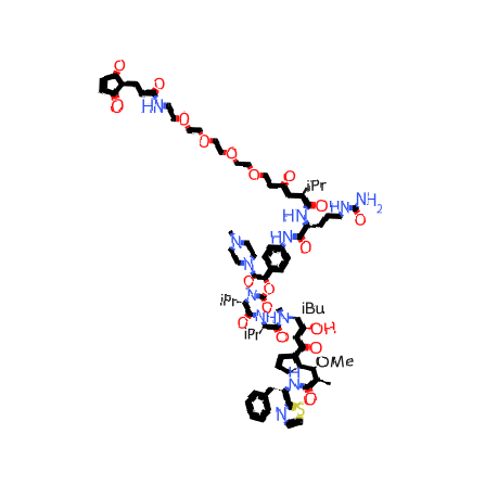 CC[C@H](C)[C@@H]([C@H](O)CC(=O)C1CCC[C@H]1[C@H](OC)[C@@H](C)C(=O)N[C@@H](Cc1ccccc1)c1nccs1)N(C)C(=O)[C@@H](NC(=O)[C@H](C(C)C)N(C)C(=O)OC(C(=O)N1CCN(C)CC1)c1ccc(NC(=O)[C@H](CCCNC(N)=O)NC(=O)[C@@H](CC(=O)CCOCCOCCOCCOCCNC(=O)CCC2C(=O)C=CC2=O)C(C)C)cc1)C(C)C